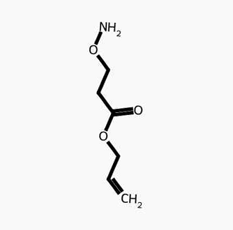 C=CCOC(=O)CCON